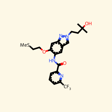 CSCCOc1cc2nn(CCC(C)(C)O)cc2cc1NC(=O)c1cccc(C(F)(F)F)n1